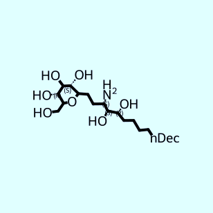 CCCCCCCCCCCCCC[C@@H](O)[C@@H](O)[C@@H](N)CCC1OC(CO)[C@H](O)C(O)[C@@H]1O